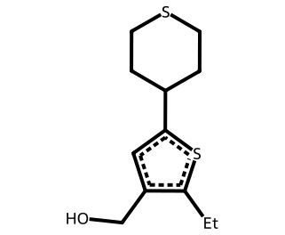 CCc1sc(C2CCSCC2)cc1CO